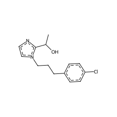 CC(O)c1nccn1CCCc1ccc(Cl)cc1